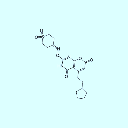 O=c1cc(CCC2CCCC2)c2c(=O)[nH]c(ON=C3CCS(=O)(=O)CC3)nc2o1